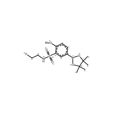 COc1ccc(B2OC(C)(C)C(C)(C)O2)cc1S(=O)(=O)NCCF